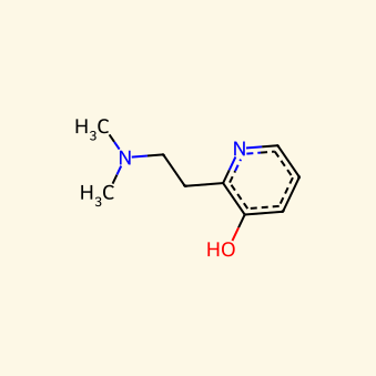 CN(C)CCc1ncccc1O